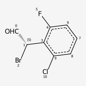 O=C[C@@H](Br)c1c(F)cccc1Cl